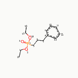 CCOP(=O)(CCCc1ccccc1)OCC